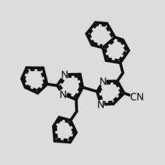 N#Cc1cnc(-c2cnc(-c3ccccc3)nc2Cc2ccccc2)nc1Cc1ccc2ccccc2c1